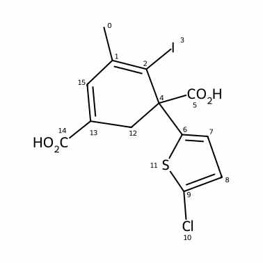 CC1=C(I)C(C(=O)O)(c2ccc(Cl)s2)CC(C(=O)O)=C1